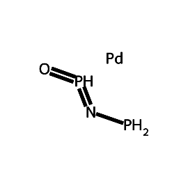 O=[PH]=NP.[Pd]